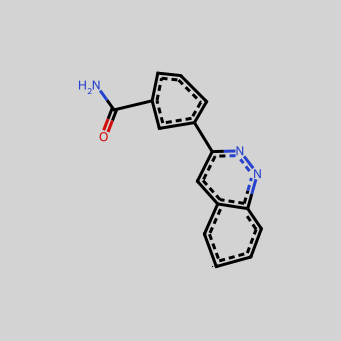 NC(=O)c1cccc(-c2cc3c[c]ccc3nn2)c1